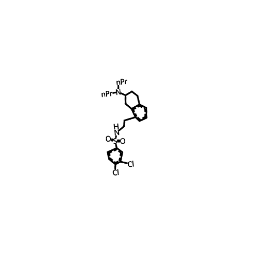 CCCN(CCC)C1CCc2cccc(CCNS(=O)(=O)c3ccc(Cl)c(Cl)c3)c2C1